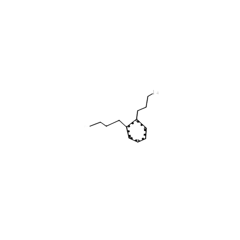 BrCCCc1ccccc1CCCBr